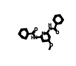 COc1cc(NC(=O)c2ccccc2)nc(NC(=O)c2ccccc2)c1